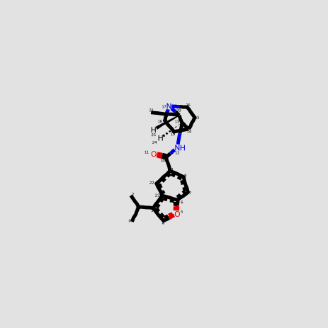 CC(C)c1coc2ccc(C(=O)N[C@@H]3C4CCN(CC4)[C@H]3C)cc12